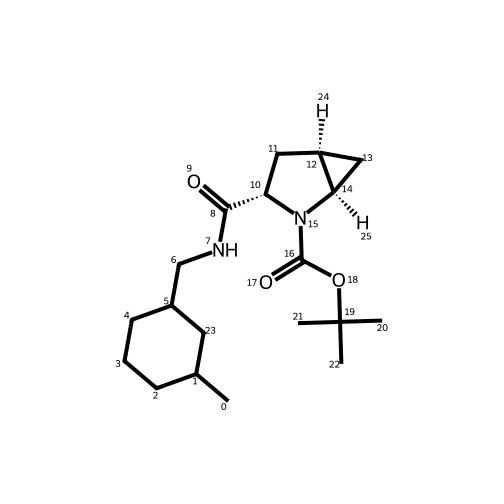 CC1CCCC(CNC(=O)[C@@H]2C[C@H]3C[C@H]3N2C(=O)OC(C)(C)C)C1